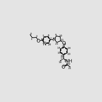 CCCOc1ccc(N2CCC(Oc3ccc([C@H](C)NC(C)=O)cc3)C2)cn1